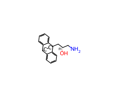 NC[C@H](O)CC12CCC(c3ccccc31)c1ccccc12